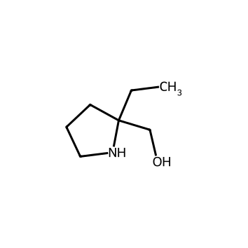 CCC1(CO)CCCN1